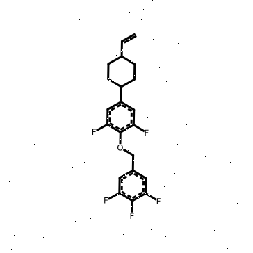 C=CC1CCC(c2cc(F)c(OCc3cc(F)c(F)c(F)c3)c(F)c2)CC1